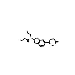 CCCC(=O)N(CCC)C1Cc2ccc(C3=NNC(=O)CC3)cc2C1